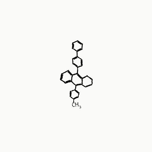 Cc1ccc(-c2c3c(c(-c4ccc(-c5ccccc5)cc4)c4ccccc24)CCC=C3)cc1